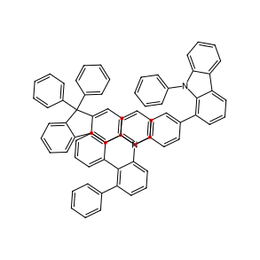 c1ccc(-c2ccccc2-c2c(-c3ccccc3)cccc2N(c2ccc(-c3cccc4c5ccccc5n(-c5ccccc5)c34)cc2)c2ccc3c(c2)-c2ccccc2C3(c2ccccc2)c2ccccc2)cc1